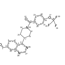 O=Cc1ccc2c(C3CCN(C(=O)c4ccc(OC(F)(F)F)cc4)CC3)ncnc2c1